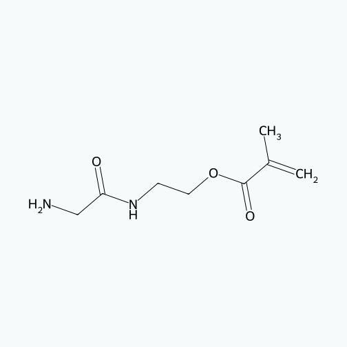 C=C(C)C(=O)OCCNC(=O)CN